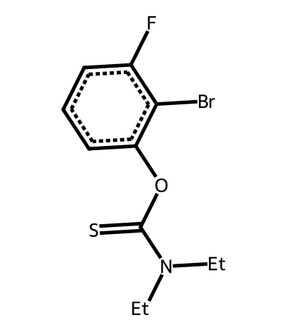 CCN(CC)C(=S)Oc1cccc(F)c1Br